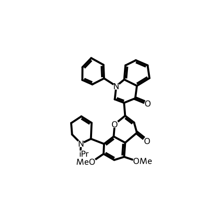 COc1cc(OC)c2c(=O)cc(-c3cn(-c4ccccc4)c4ccccc4c3=O)oc2c1C1C=CCCN1C(C)C